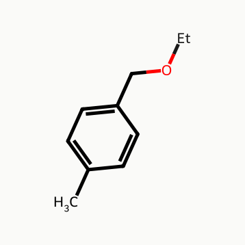 [CH2]COCc1ccc(C)cc1